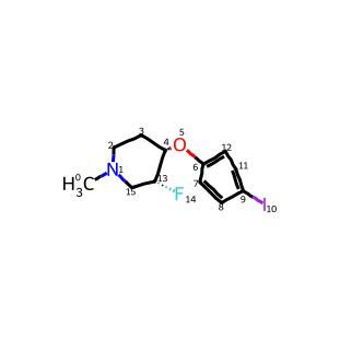 CN1CC[C@H](Oc2ccc(I)cc2)[C@H](F)C1